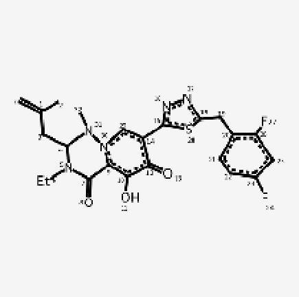 C=C(C)CC1N(CC)C(=O)c2c(O)c(=O)c(-c3nnc(Cc4ccc(F)cc4F)s3)cn2N1C